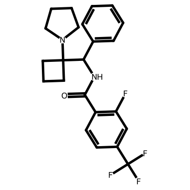 O=C(NC(c1ccccc1)C1(N2CCCC2)CCC1)c1ccc(C(F)(F)F)cc1F